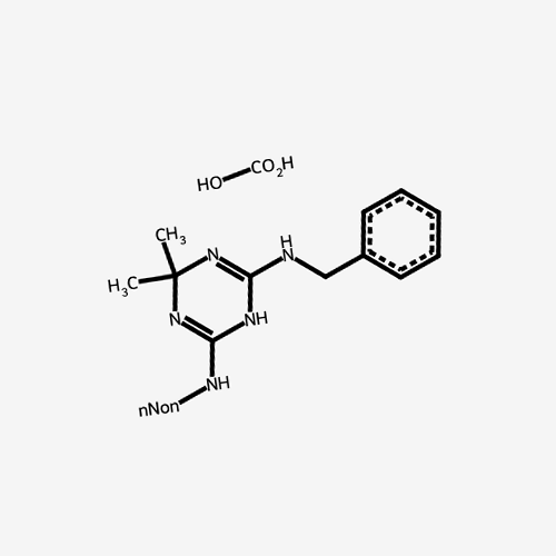 CCCCCCCCCNC1=NC(C)(C)N=C(NCc2ccccc2)N1.O=C(O)O